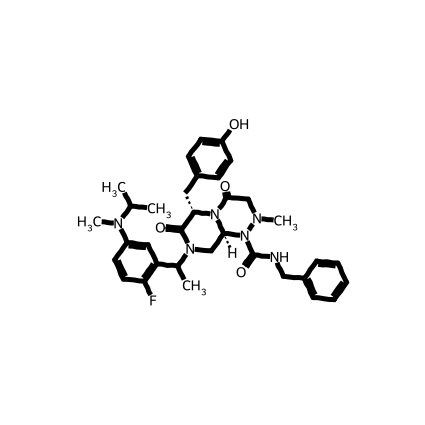 CC(c1cc(N(C)C(C)C)ccc1F)N1C[C@H]2N(C(=O)CN(C)N2C(=O)NCc2ccccc2)[C@@H](Cc2ccc(O)cc2)C1=O